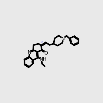 CCNc1c2c(nc3ccccc13)CC/C(=C/CC1CCN(Cc3ccccc3)CC1)C2=O